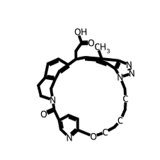 Cc1c2ccc3c1nnn3CCCCCCOc1ccc(cn1)C(=O)N1CCc3ccc(cc3C1)C2CC(=O)O